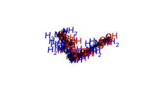 C[C@@H](O)[C@H](N)C(=O)O.C[C@H](N)C(=O)O.N=C(N)NCCC[C@H](N)C(=O)O.N=C(N)NCCC[C@H](N)C(=O)O.NCC(=O)O.NCC(=O)O.NCC(=O)OC(=O)CN.N[C@@H](CC(=O)O)C(=O)O.O=C(O)[C@@H]1CCCN1.O=C(O)[C@@H]1CCCN1.O=C(O)[C@@H]1CCCN1